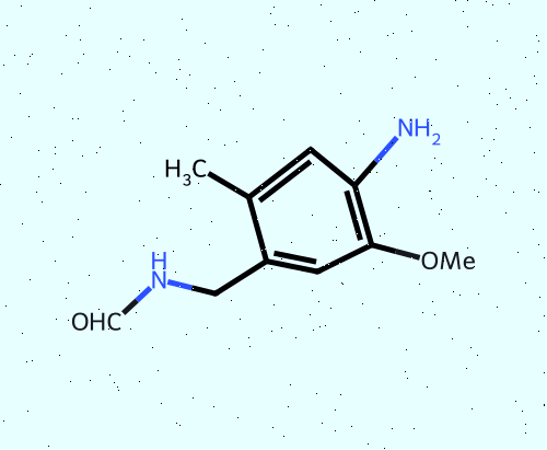 COc1cc(CNC=O)c(C)cc1N